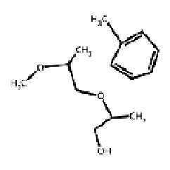 COC(C)COC(C)CO.Cc1ccccc1